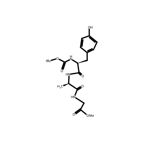 COC(=O)CNC(=O)[C@@H](C)NC(=O)[C@H](Cc1ccc(O)cc1)NC(=O)OC(C)(C)C